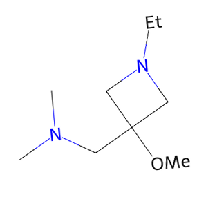 CCN1CC(CN(C)C)(OC)C1